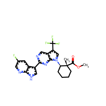 COC(=O)[C@]1(C)CCCC[C@H]1n1cc(C(F)(F)F)c2cnc(-c3c[nH]c4ncc(F)cc34)nc21